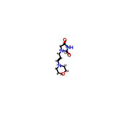 O=C1CN(CC=CN2CCOCC2)C(=O)N1